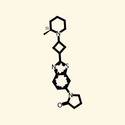 C[C@H]1CCCCN1C1CC(c2nc3ccc(N4CCCC4=O)cc3s2)C1